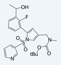 CC(O)c1cccc(-c2cc(CN(C)C(=O)OC(C)(C)C)cn2S(=O)(=O)c2cccnc2)c1F